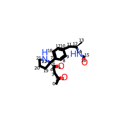 CC(=O)CC(=O)[C@]1(c2ccc(C[C@@H](C)NC=O)cc2)CCCN1